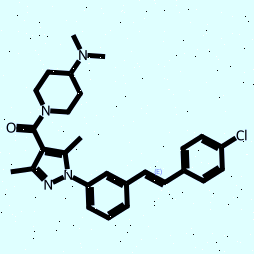 Cc1nn(-c2cccc(/C=C/c3ccc(Cl)cc3)c2)c(C)c1C(=O)N1CCC(N(C)C)CC1